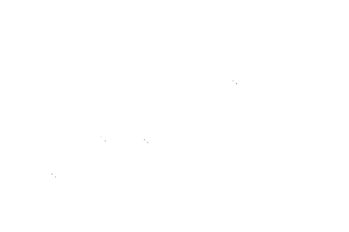 Cc1cc(F)ccc1NS(=O)(=O)c1ccc(NC(=O)NCc2cccnc2)cc1